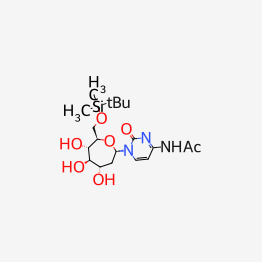 CC(=O)Nc1ccn([C@H]2C[C@H](O)[C@@H](O)[C@H](O)[C@@H](CO[Si](C)(C)C(C)(C)C)O2)c(=O)n1